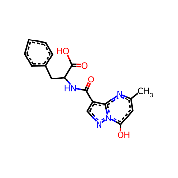 Cc1cc(O)n2ncc(C(=O)NC(Cc3ccccc3)C(=O)O)c2n1